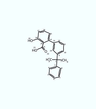 CC(C)(c1ccccc1)c1cccc(-c2cccc(O)c2C(=O)O)c1